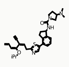 C#CC(=C/Cc1ncc(-c2cccc3c2CCC3NC(=O)N2CCC(N(C)C)C2)s1)/C(=C\C=C)OC(C)C